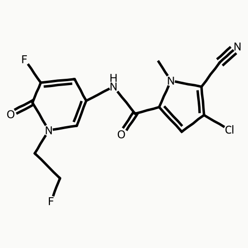 Cn1c(C(=O)Nc2cc(F)c(=O)n(CCF)c2)cc(Cl)c1C#N